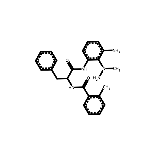 Cc1ccccc1C(=O)NC(Cc1ccccc1)C(=O)Nc1cccc(N)c1N(C)N